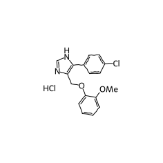 COc1ccccc1OCc1nc[nH]c1-c1ccc(Cl)cc1.Cl